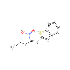 CCCC(=Cc1cc2ccccc2s1)[N+](=O)[O-]